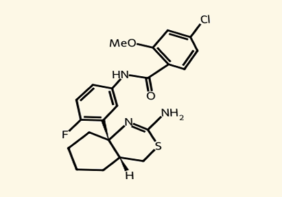 COc1cc(Cl)ccc1C(=O)Nc1ccc(F)c([C@]23CCCC[C@H]2CSC(N)=N3)c1